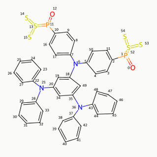 O=P(c1ccc(N(c2ccc(P(=O)=S(=S)=S)cc2)c2cc(N(c3ccccc3)c3ccccc3)cc(N(c3ccccc3)c3ccccc3)c2)cc1)=S(=S)=S